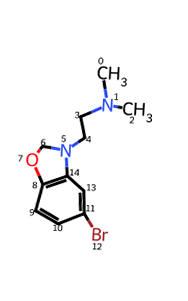 CN(C)CCN1COc2ccc(Br)cc21